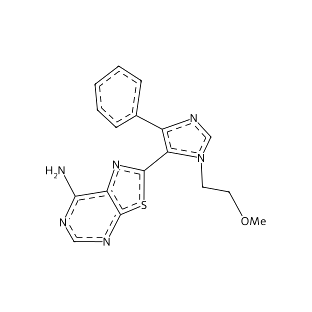 COCCn1cnc(-c2ccccc2)c1-c1nc2c(N)ncnc2s1